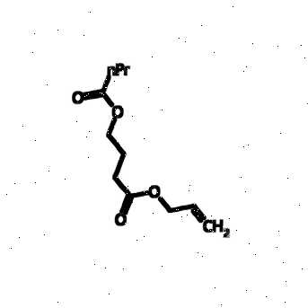 C=CCOC(=O)CCCOC(=O)CCC